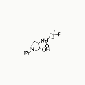 CC(C)N1CCC(NC(=O)C2CC(C)(F)C2)C(O)C1